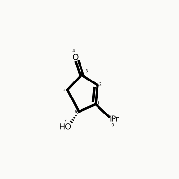 CC(C)C1=CC(=O)C[C@H]1O